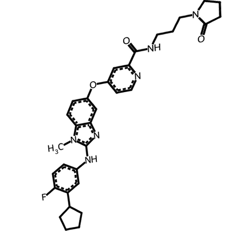 Cn1c(Nc2ccc(F)c(C3CCCC3)c2)nc2cc(Oc3ccnc(C(=O)NCCCN4CCCC4=O)c3)ccc21